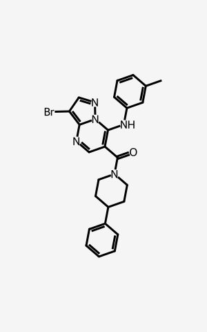 Cc1cccc(Nc2c(C(=O)N3CCC(c4ccccc4)CC3)cnc3c(Br)cnn23)c1